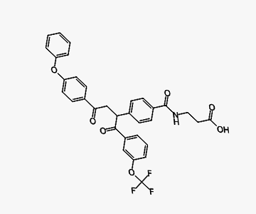 O=C(O)CCNC(=O)c1ccc(C(CC(=O)c2ccc(Oc3ccccc3)cc2)C(=O)c2cccc(OC(F)(F)F)c2)cc1